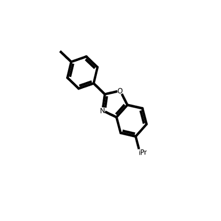 Cc1ccc(-c2nc3cc(C(C)C)ccc3o2)cc1